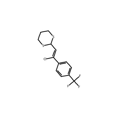 FC(F)(F)c1ccc(C(Cl)=CC2SCCCS2)cc1